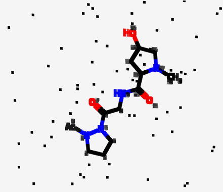 CC(=O)N1CCCN1C(=O)CNC(=O)C1CC(O)CN1C